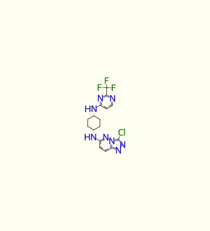 FC(F)(F)c1nccc(N[C@H]2CC[C@@H](Nc3ccc4nnc(Cl)n4n3)CC2)n1